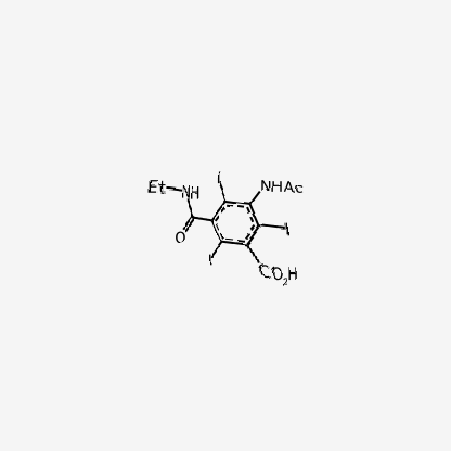 CCNC(=O)c1c(I)c(NC(C)=O)c(I)c(C(=O)O)c1I